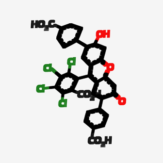 O=C(O)c1ccc(-c2cc3c(-c4c(Cl)c(Cl)c(Cl)c(Cl)c4C(=O)O)c4cc(-c5ccc(C(=O)O)cc5)c(=O)cc-4oc3cc2O)cc1